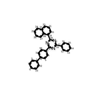 c1ccc(-c2ccc(-c3nc(-c4ccccc4)nc(-c4cccc5ccccc45)n3)cc2)cc1